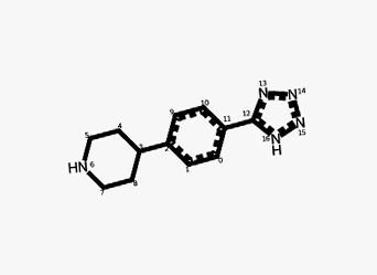 c1cc(C2CCNCC2)ccc1-c1nnn[nH]1